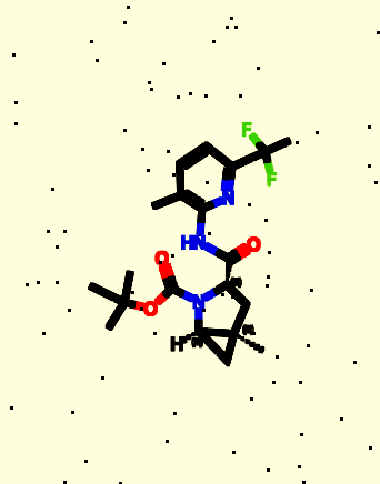 Cc1ccc(C(C)(F)F)nc1NC(=O)[C@@H]1C[C@@]2(C)C[C@H]2N1C(=O)OC(C)(C)C